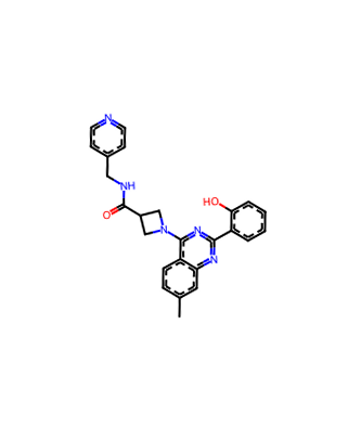 Cc1ccc2c(N3CC(C(=O)NCc4ccncc4)C3)nc(-c3ccccc3O)nc2c1